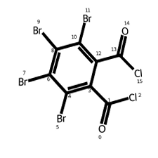 O=C(Cl)c1c(Br)c(Br)c(Br)c(Br)c1C(=O)Cl